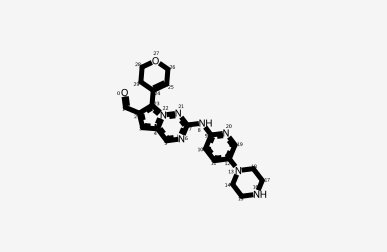 O=Cc1cc2cnc(Nc3ccc(N4CCNCC4)cn3)nn2c1C1=CCOCC1